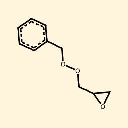 c1ccc(COOCC2CO2)cc1